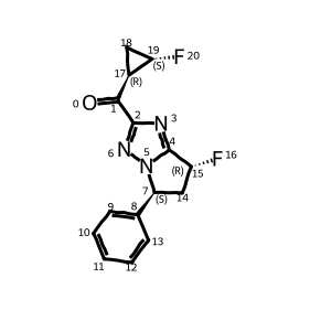 O=C(c1nc2n(n1)[C@H](c1ccccc1)C[C@H]2F)[C@H]1C[C@@H]1F